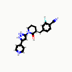 N#Cc1ccc(C[C@@H]2CCCN(c3cc(-c4ccncc4)n[nH]3)C2=O)cc1F